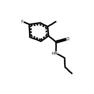 CCCNC(=O)c1ccc(F)cc1C